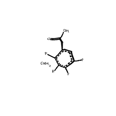 O=C(O)c1cc(F)c(F)c(F)c1F.[CaH2]